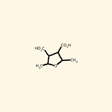 CC1OC(C)C(C(=O)O)C1C(=O)O